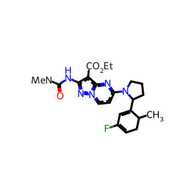 CCOC(=O)c1c(NC(=O)NC)nn2ccc(N3CCCC3C3=CC(F)=CCC3C)nc12